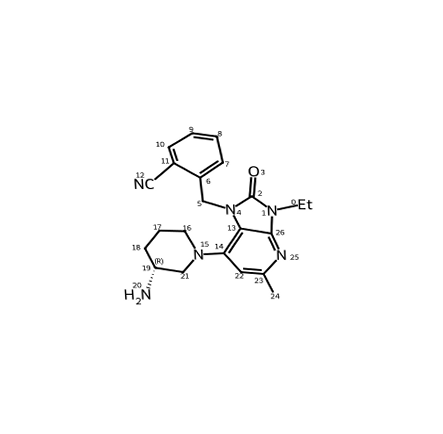 CCn1c(=O)n(Cc2ccccc2C#N)c2c(N3CCC[C@@H](N)C3)cc(C)nc21